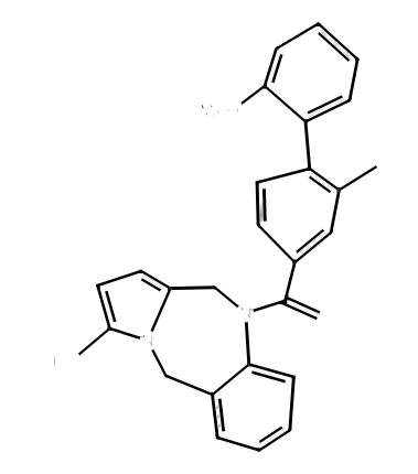 COc1ccccc1-c1ccc(C(=O)N2Cc3ccc(C=O)n3Cc3ccccc32)cc1C